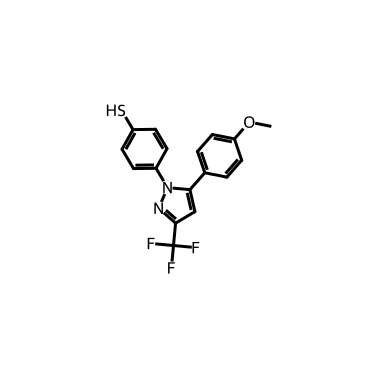 COc1ccc(-c2cc(C(F)(F)F)nn2-c2ccc(S)cc2)cc1